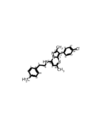 Cc1ccc(CCNc2cc(C)nc3c(-c4ccc(Cl)cc4)c(C)nn23)cc1